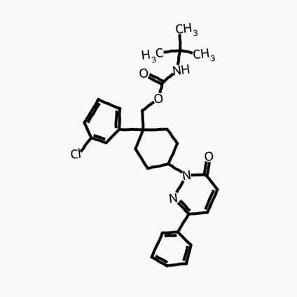 CC(C)(C)NC(=O)OCC1(c2cccc(Cl)c2)CCC(n2nc(-c3ccccc3)ccc2=O)CC1